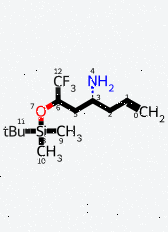 C=CC[C@@H](N)CC(O[Si](C)(C)C(C)(C)C)C(F)(F)F